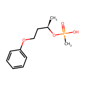 C[C@H](CCOc1ccccc1)OP(C)(=O)O